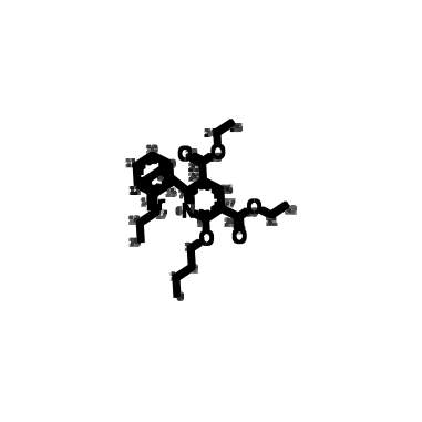 CCCCOc1nc(C2c3ccc(c(Br)c3)C2CCC)c(C(=O)OCC)cc1C(=O)OCC